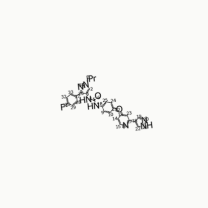 CC(C)n1cc(NC(=O)Nc2ccc(Oc3ccnc(-c4cn[nH]c4)c3)cc2)c(-c2ccc(F)cc2)n1